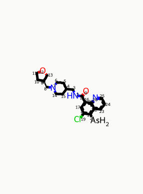 O=C(NCC1CCN(C[C@H]2CCOC2)CC1)c1cc(Cl)c([AsH2])c2cccnc12